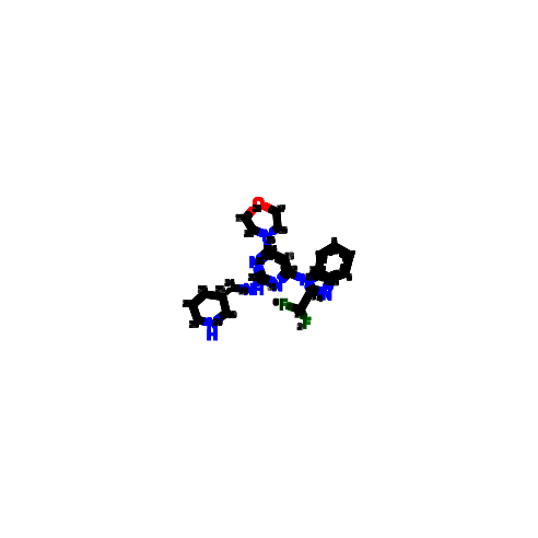 FC(F)c1nc2ccccc2n1-c1cc(N2CCOCC2)nc(NC[C@H]2CCCNC2)n1